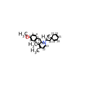 COc1ccc(CC2C(C)=C(C)C=CN2CCC2(C)C=CC=CC2)cc1